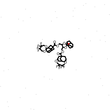 O=C(OCC1OC2(OC1COC(=O)C13CC4CC(C1)C1(OCC(F)(F)C(F)(F)CO1)C(C4)C3)C1CC3CC(C1)CC2C3)C12CC3CC(C1)OCC(F)(F)C(F)(F)COC(C3)C2